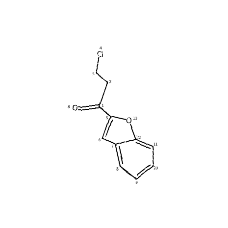 O=C(CCCl)c1cc2ccccc2o1